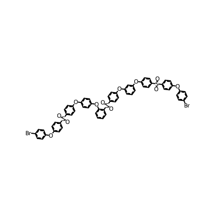 O=S(=O)(c1ccc(Oc2ccc(Br)cc2)cc1)c1ccc(Oc2ccc(Oc3ccccc3S(=O)(=O)c3ccc(Oc4cccc(Oc5ccc(S(=O)(=O)c6ccc(Oc7ccc(Br)cc7)cc6)cc5)c4)cc3)cc2)cc1